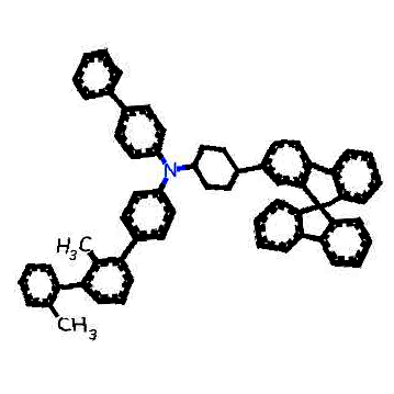 Cc1ccccc1-c1cccc(-c2ccc(N(c3ccc(-c4ccccc4)cc3)C3CCC(c4ccc5c(c4)C4(c6ccccc6-c6ccccc64)c4ccccc4-5)CC3)cc2)c1C